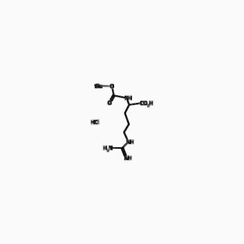 CC(C)(C)OC(=O)NC(CCCNC(=N)N)C(=O)O.Cl